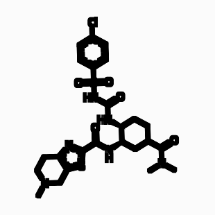 CN1CCc2nc(C(=O)N[C@@H]3CC(C(=O)N(C)C)CC[C@@H]3NC(=O)NS(=O)(=O)c3ccc(Cl)cc3)sc2C1